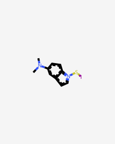 CN(C)c1ccc2c(ccn2SI)c1